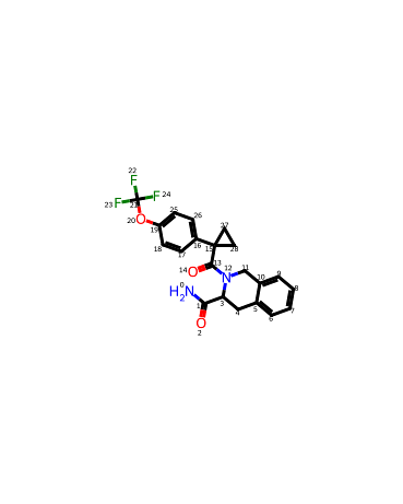 NC(=O)C1Cc2ccccc2CN1C(=O)C1(c2ccc(OC(F)(F)F)cc2)CC1